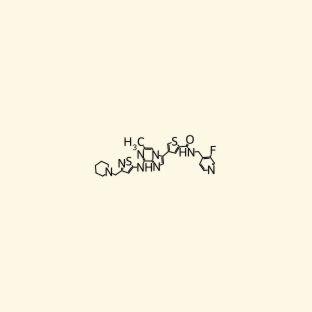 Cc1cn2c(-c3csc(C(=O)NCc4ccncc4F)c3)cnc2c(Nc2cc(CN3CCCCC3)ns2)n1